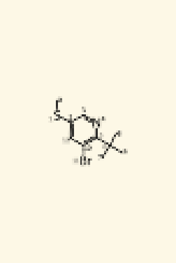 CSc1cnc(C(C)(C)C)c(Br)c1